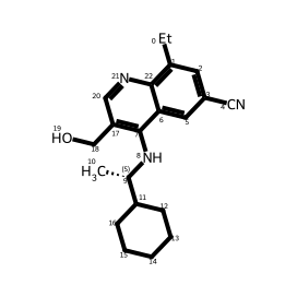 CCc1cc(C#N)cc2c(N[C@@H](C)C3CCCCC3)c(CO)cnc12